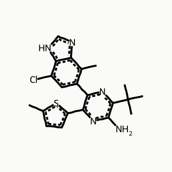 Cc1ccc(-c2nc(N)c(C(C)(C)C)nc2-c2cc(Cl)c3[nH]cnc3c2C)s1